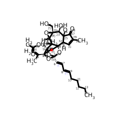 C=C(C)[C@@]12O[C@@]3(/C=C/C=C/CCCCC)O[C@@H]1[C@@H]1[C@@H]4O[C@]4(CO)[C@@H](O)[C@]4(O)C(=O)C(C)=C[C@H]4[C@@]1(O3)[C@H](C)[C@H]2OC(C)=O